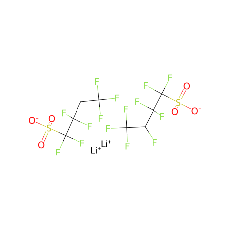 O=S(=O)([O-])C(F)(F)C(F)(F)C(F)C(F)(F)F.O=S(=O)([O-])C(F)(F)C(F)(F)CC(F)(F)F.[Li+].[Li+]